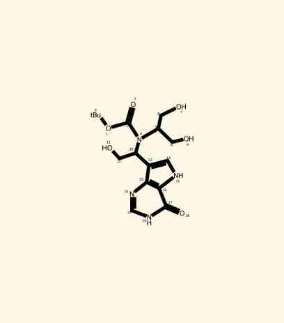 CC(C)(C)OC(=O)N(C(CO)CO)C(CO)c1c[nH]c2c(=O)[nH]cnc12